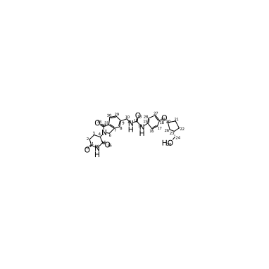 O=C1CC[C@@H](N2Cc3cc(CNC(=O)Nc4ccc(O[C@@H]5CC[C@H](CO)C5)cc4)ccc3C2=O)C(=O)N1